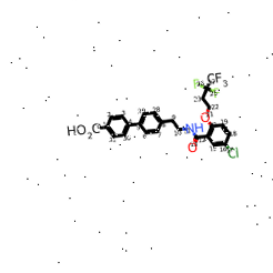 O=C(O)c1ccc(-c2ccc(CCNC(=O)c3cc(Cl)ccc3OCCC(F)(F)C(F)(F)F)cc2)cc1